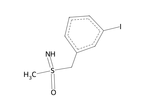 CS(=N)(=O)Cc1cccc(I)c1